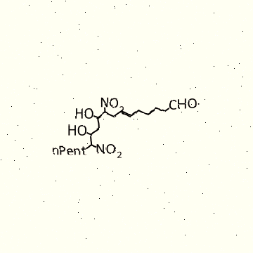 CCCCCC(C(O)CC(O)C(CC=CCCCC[C]=O)[N+](=O)[O-])[N+](=O)[O-]